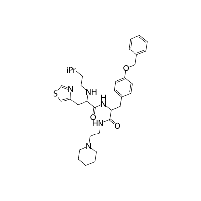 CC(C)CCNC(Cc1cscn1)C(=O)NC(Cc1ccc(OCc2ccccc2)cc1)C(=O)NCCN1CCCCC1